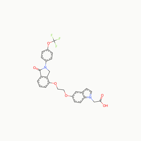 O=C(O)Cn1ccc2cc(OCCOc3cccc4c3CN(c3ccc(OC(F)(F)F)cc3)C4=O)ccc21